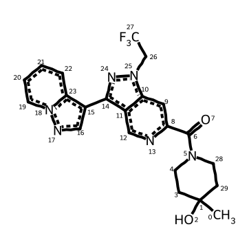 CC1(O)CCN(C(=O)c2cc3c(cn2)c(-c2cnn4ccccc24)nn3CC(F)(F)F)CC1